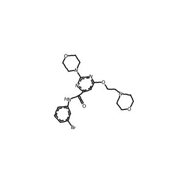 O=C(Nc1cccc(Br)c1)c1cc(OCCN2CCOCC2)nc(N2CCOCC2)n1